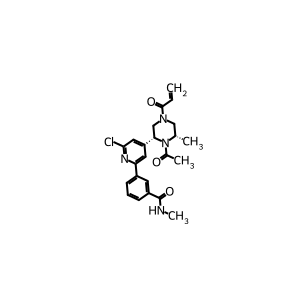 C=CC(=O)N1C[C@H](C)N(C(C)=O)[C@H](c2cc(Cl)nc(-c3cccc(C(=O)NC)c3)c2)C1